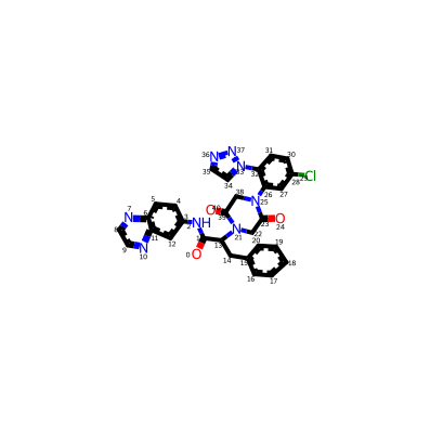 O=C(Nc1ccc2nccnc2c1)C(Cc1ccccc1)N1CC(=O)N(c2cc(Cl)ccc2-n2ccnn2)CC1=O